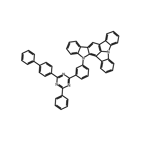 c1ccc(-c2ccc(-c3nc(-c4ccccc4)nc(-c4cccc(-n5c6ccccc6c6cc7c8ccccc8n8c9ccccc9c(c65)c78)c4)n3)cc2)cc1